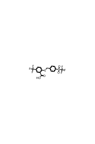 O=C(O)c1cc(C(F)(F)F)ccc1SCc1ccc(S(=O)(=O)C(F)(F)F)cc1